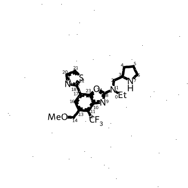 CCN(CC1CCCN1)c1nc2c(C(F)(F)F)c(COC)cc(-c3nccs3)c2o1